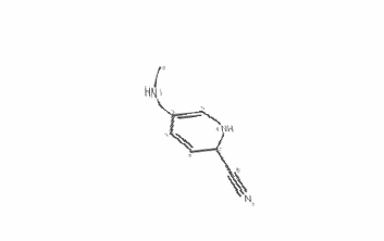 CNC1=CNC(C#N)C=C1